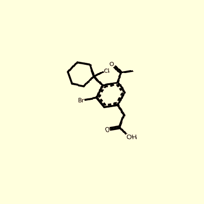 CC(=O)c1cc(CC(=O)O)cc(Br)c1C1(Cl)CCCCC1